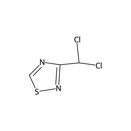 ClC(Cl)c1ncsn1